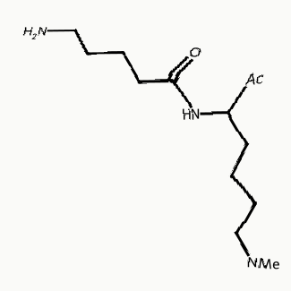 CNCCCCC(NC(=O)CCCCN)C(C)=O